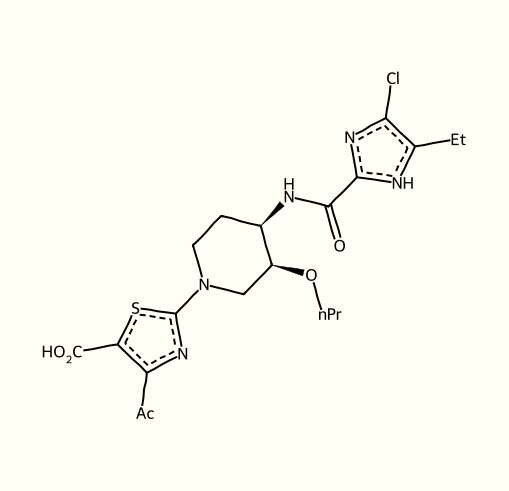 CCCO[C@H]1CN(c2nc(C(C)=O)c(C(=O)O)s2)CC[C@H]1NC(=O)c1nc(Cl)c(CC)[nH]1